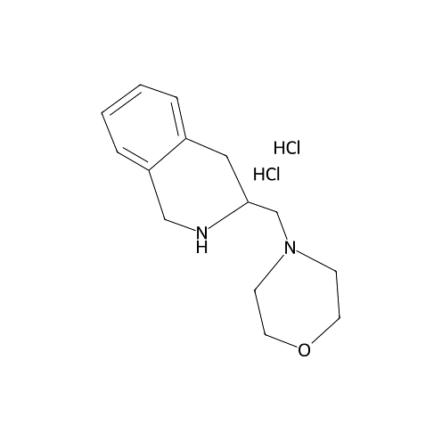 Cl.Cl.c1ccc2c(c1)CNC(CN1CCOCC1)C2